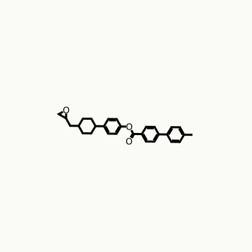 Cc1ccc(-c2ccc(C(=O)Oc3ccc(C4CCC(CC5CO5)CC4)cc3)cc2)cc1